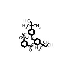 CCC(C)(C)c1ccc([I+]c2ccc(C(C)(C)CC)cc2)cc1.O=[N+]([O-])c1cccc(S(=O)(=O)[O-])c1